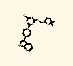 CC1(C)CC[C@H](COc2nc(Cl)nc(N3CCC(c4c[nH]c5ncccc45)CC3)n2)O1